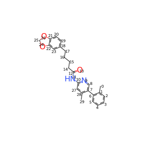 Cc1ccccc1-c1cnc(NC(=O)CCCCc2ccc3c(c2)OCO3)cc1C